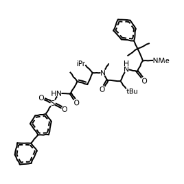 CNC(C(=O)NC(C(=O)N(C)C(/C=C(\C)C(=O)NS(=O)(=O)c1ccc(-c2ccccc2)cc1)C(C)C)C(C)(C)C)C(C)(C)c1ccccc1